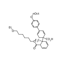 CCCCCCCCOc1ccc(C2=CCC(C(=O)O)(C3(C(F)(F)F)C=CC=CC3C(=O)OCCCCCCOCC)C=C2)cc1